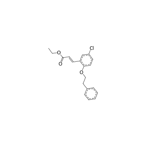 CCOC(=O)C=Cc1cc(Cl)ccc1OCCc1ccccc1